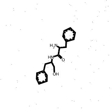 NC(Cc1ccccc1)C(=O)NC(CO)Cc1ccccc1